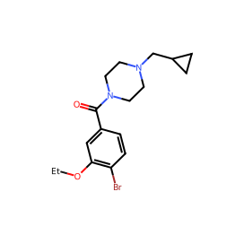 CCOc1cc(C(=O)N2CCN(CC3CC3)CC2)ccc1Br